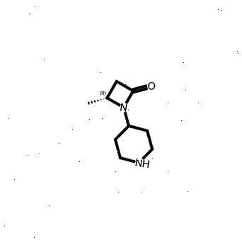 C[C@@H]1CC(=O)N1C1CCNCC1